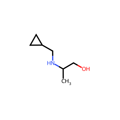 CC(CO)NCC1CC1